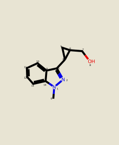 Cn1nc(C2CC2CO)c2ccccc21